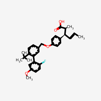 CC=C[C@@H](c1ccc(OCc2ccc(C(C)(C)C)c(-c3cc(OC)ccc3F)c2)cc1)[C@H](C)C(=O)O